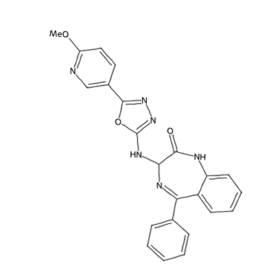 COc1ccc(-c2nnc(NC3N=C(c4ccccc4)c4ccccc4NC3=O)o2)cn1